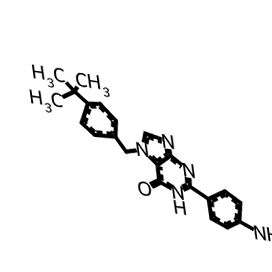 CC(C)(C)c1ccc(Cn2cnc3nc(-c4ccc(N)cc4)[nH]c(=O)c32)cc1